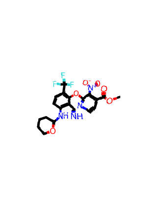 COC(=O)c1ccnc(Oc2c(C(F)(F)F)ccc(NC3CCCCO3)c2C=N)c1[N+](=O)[O-]